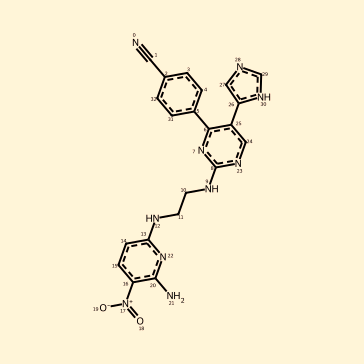 N#Cc1ccc(-c2nc(NCCNc3ccc([N+](=O)[O-])c(N)n3)ncc2-c2cnc[nH]2)cc1